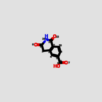 O=C1Cc2cc(C(=O)O)ccc2C(=O)N1